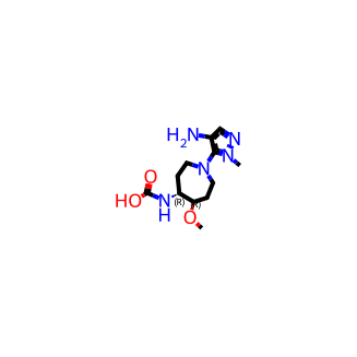 CO[C@@H]1CCN(c2c(N)cnn2C)CC[C@H]1NC(=O)O